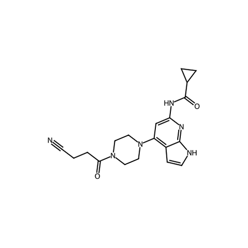 N#CCCC(=O)N1CCN(c2cc(NC(=O)C3CC3)nc3[nH]ccc23)CC1